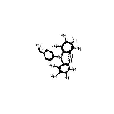 [2H]c1c([2H])c([2H])c(N(c2ccc(C=C)cc2)c2c([2H])c([2H])c([2H])c([2H])c2[2H])c([2H])c1[2H]